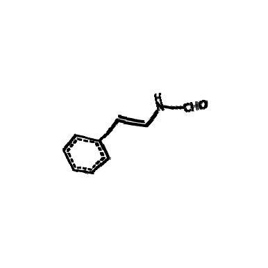 O=CNC=Cc1ccccc1